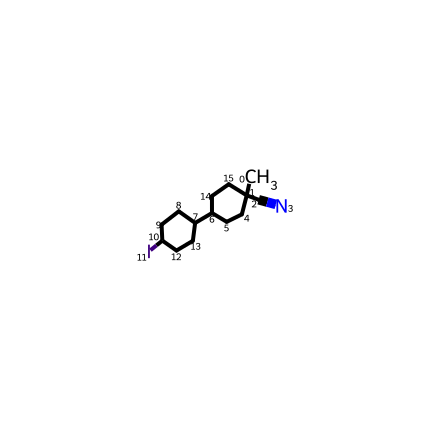 CC1(C#N)CCC(C2CCC(I)CC2)CC1